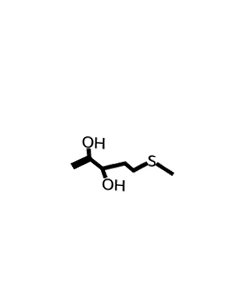 C=C(O)C(O)CCSC